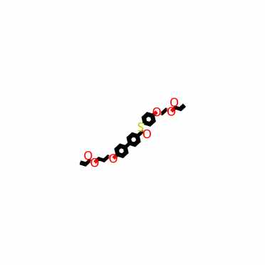 C=CC(=O)OCCCOc1ccc(-c2ccc(C(=O)Sc3ccc(OCCOC(=O)C=C)cc3)cc2)cc1